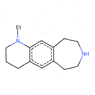 CCN1CCCc2cc3c(cc21)CCNCC3